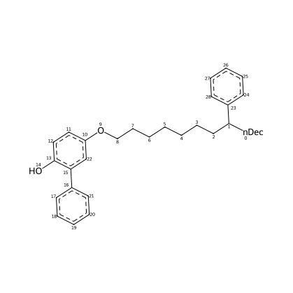 CCCCCCCCCCC(CCCCCCCOc1ccc(O)c(-c2ccccc2)c1)c1ccccc1